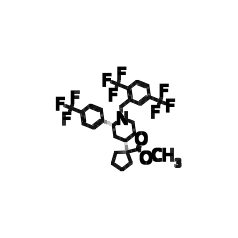 COC(=O)C1([C@H]2CCN(Cc3cc(C(F)(F)F)ccc3C(F)(F)F)[C@@H](c3ccc(C(F)(F)F)cc3)C2)CCCC1